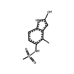 Cc1c(NS(C)(=O)=O)ccc2[nH]c(O)cc12